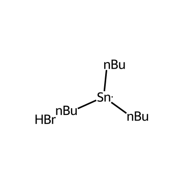 Br.CCC[CH2][Sn]([CH2]CCC)[CH2]CCC